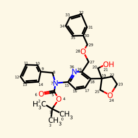 CC(C)(C)OC(=O)N(Cc1ccccc1)c1ccc(C2(CO)CCOC2)c(COCc2ccccc2)n1